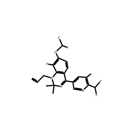 C=CCN1c2c(ccc(OC(F)F)c2F)C(c2cnc(C(F)F)c(C)c2)=NC1(C)C